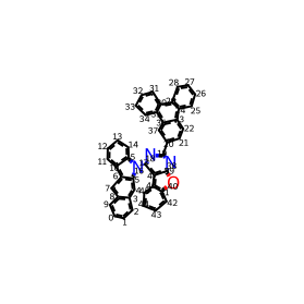 c1ccc2cc3c(cc2c1)c1ccccc1n3-c1nc(-c2ccc3c4ccccc4c4ccccc4c3c2)nc2oc3ccccc3c12